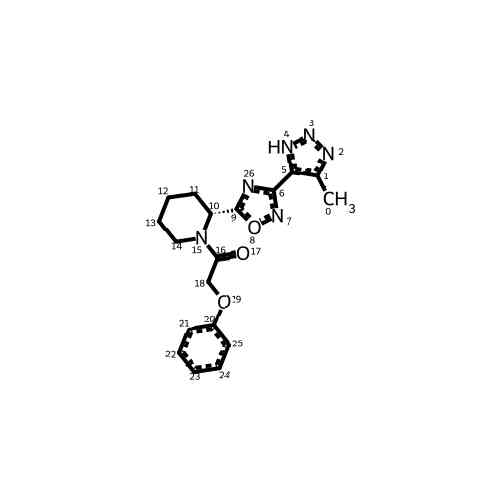 Cc1nn[nH]c1-c1noc([C@H]2CCCCN2C(=O)COc2ccccc2)n1